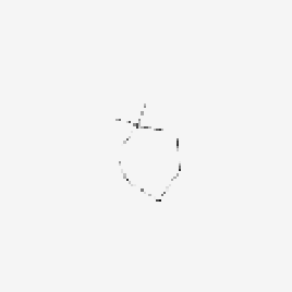 CC1(O)OCCCO1